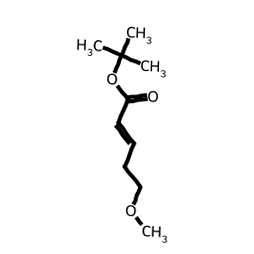 COCCC=CC(=O)OC(C)(C)C